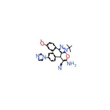 COc1ccc(-c2nn(C(C)(C)C)c3c2C(c2ccc(-n4ccnc4)cc2)C(C#N)=C(N)O3)cc1